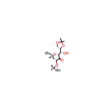 CC1(C)OC[C@@H]([C@H](O)[C@@H](O[Si](C)(C)C(C)(C)C)C(=O)CO[Si](C)(C)C(C)(C)C)O1